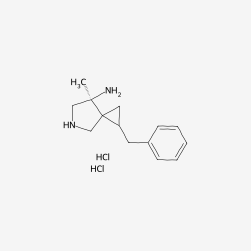 C[C@@]1(N)CNCC12CC2Cc1ccccc1.Cl.Cl